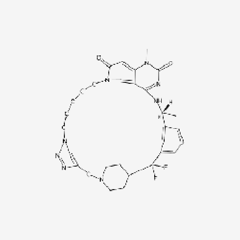 C[C@H]1Nc2nc(=O)n(C)c3cc(=O)n(cc23)CCCCCn2cc(nn2)CN2CCC(CC2)C(F)(F)c2cccc1c2